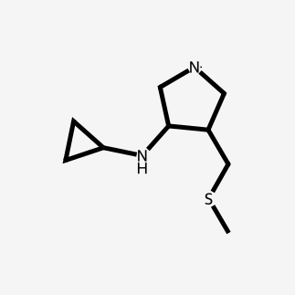 CSCC1C[N]CC1NC1CC1